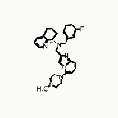 CN1CCN(c2cccc3nc(CN(Cc4cccc(F)c4)[C@H]4CCCc5cccnc54)cn23)CC1